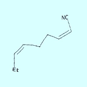 CC/C=C\CC/C=C\C#N